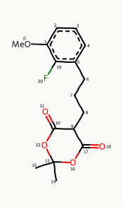 COc1cccc(CCCC2C(=O)OC(C)(C)OC2=O)c1F